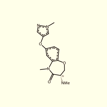 CN[C@H]1COc2ccc(Oc3cnn(C)c3)cc2N(C)C1=O